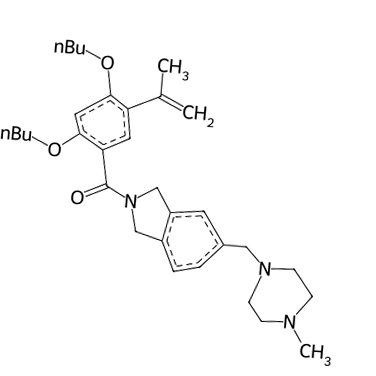 C=C(C)c1cc(C(=O)N2Cc3ccc(CN4CCN(C)CC4)cc3C2)c(OCCCC)cc1OCCCC